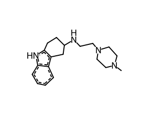 CN1CCN(CCNC2CCc3[nH]c4ccccc4c3C2)CC1